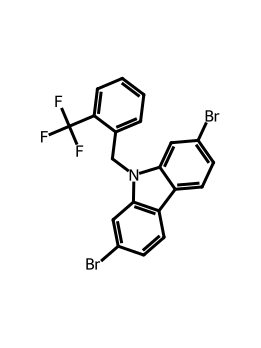 FC(F)(F)c1ccccc1Cn1c2cc(Br)ccc2c2ccc(Br)cc21